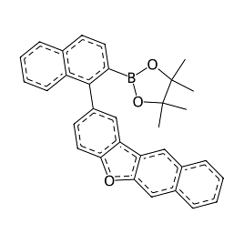 CC1(C)OB(c2ccc3ccccc3c2-c2ccc3oc4cc5ccccc5cc4c3c2)OC1(C)C